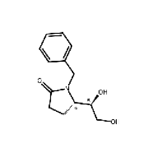 O=C1CC[C@@H]([C@@H](O)CO)N1Cc1ccccc1